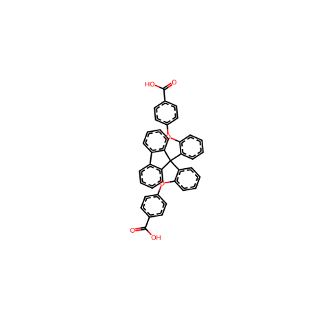 O=C(O)c1ccc(Oc2ccccc2C2(c3ccccc3Oc3ccc(C(=O)O)cc3)c3ccccc3-c3ccccc32)cc1